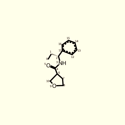 CC[C@@H](NC(=O)C1CCOC1)c1ccccc1